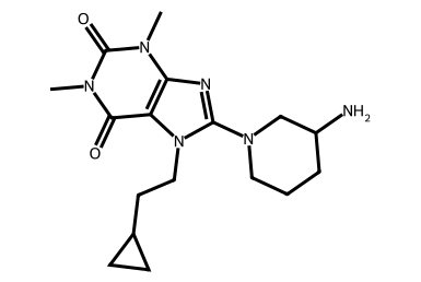 Cn1c(=O)c2c(nc(N3CCCC(N)C3)n2CCC2CC2)n(C)c1=O